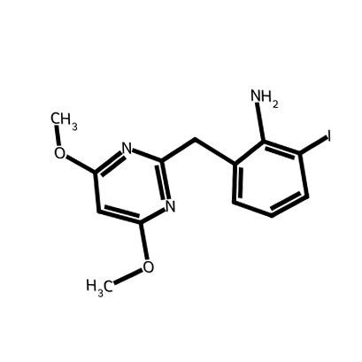 COc1cc(OC)nc(Cc2cccc(I)c2N)n1